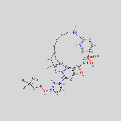 CN1CCCCC2CN(c3nc(-n4ccc(OCCC5(C(F)(F)F)CC5)n4)ccc3C(=O)NS(=O)(=O)c3ccc1nc3)C(C)(C)C2